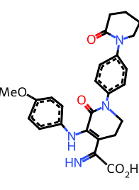 COc1ccc(NC2=C(C(=N)C(=O)O)CCN(c3ccc(N4CCCCC4=O)cc3)C2=O)cc1